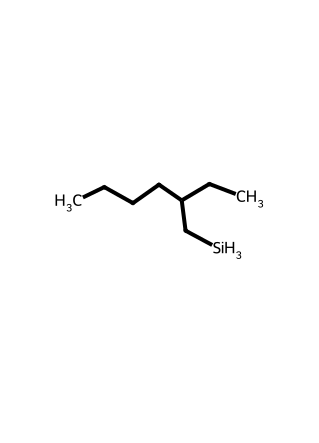 CCCCC(CC)C[SiH3]